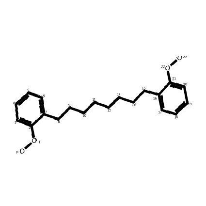 [O]Oc1ccccc1CCCCCCCCc1ccccc1O[O]